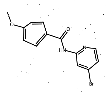 COc1ccc(C(=O)Nc2cc(Br)ccn2)cc1